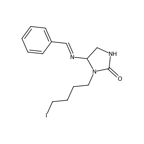 O=C1NCC(N=Cc2ccccc2)N1CCCCI